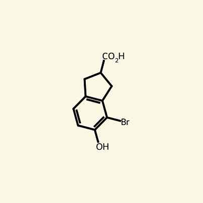 O=C(O)C1Cc2ccc(O)c(Br)c2C1